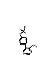 Nc1ncncc1-c1ccc(OC(F)(F)F)cc1